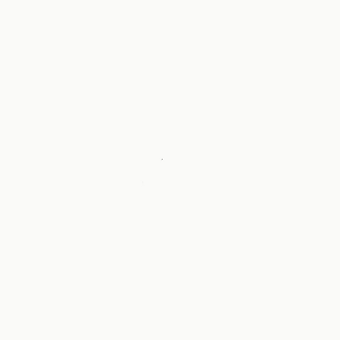 CC1(F)C=CC=[C]C1F